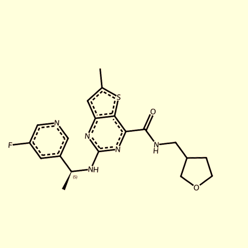 Cc1cc2nc(N[C@@H](C)c3cncc(F)c3)nc(C(=O)NCC3CCOC3)c2s1